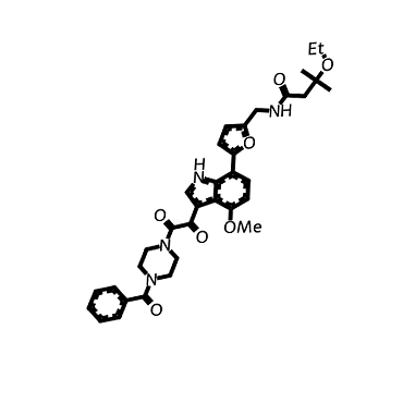 CCOC(C)(C)CC(=O)NCc1ccc(-c2ccc(OC)c3c(C(=O)C(=O)N4CCN(C(=O)c5ccccc5)CC4)c[nH]c23)o1